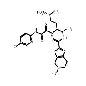 C[C@H](CC[C@H](NC(=O)C(=O)Nc1ccc(Cl)cn1)[C@@H](C)NC(=O)c1nc2c(s1)CN(C)CC2)C(=O)O